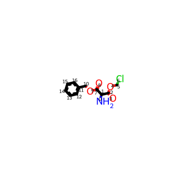 NC(C(=O)OCCl)C(=O)OCc1ccccc1